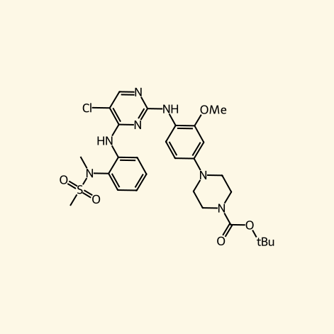 COc1cc(N2CCN(C(=O)OC(C)(C)C)CC2)ccc1Nc1ncc(Cl)c(Nc2ccccc2N(C)S(C)(=O)=O)n1